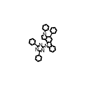 c1ccc(-c2nc(-c3ccccc3)nc(-n3c4ccccc4c4cc(-c5ccccc5)c5c(ccn5-c5ccccc5)c43)n2)cc1